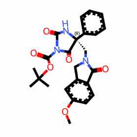 COc1ccc2c(c1)CN(C[C@@]1(c3ccccc3)NC(=O)N(C(=O)OC(C)(C)C)C1=O)C2=O